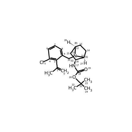 C=C(C)c1c(Cl)cccc1CN1[C@@H]2CC[C@H]1[C@@H](NC(=O)OC(C)(C)C)C2